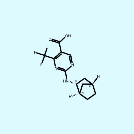 O=C(O)c1cnc(N[C@@H]2C[C@@H]3CC[C@@H]2C3)nc1C(F)(F)F